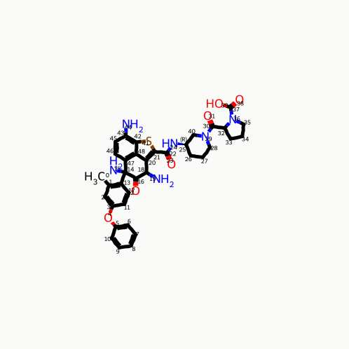 Cc1cc(Oc2ccccc2)ccc1C1(N)C(=O)C(N)c2c(C(=O)N[C@@H]3CCCN(C(=O)C4CCCN4C(=O)O)C3)sc3c(N)ccc1c23